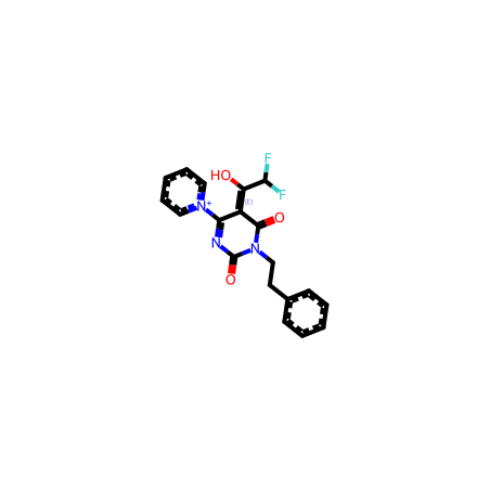 O=C1N=C([n+]2ccccc2)/C(=C(\O)C(F)F)C(=O)N1CCc1ccccc1